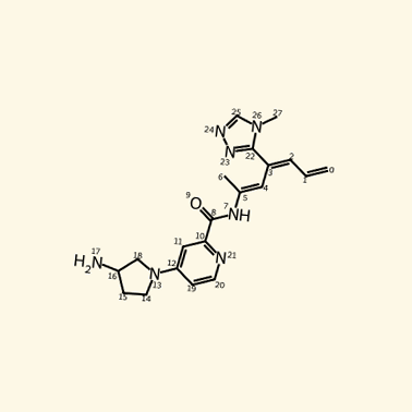 C=C/C=C(\C=C(/C)NC(=O)c1cc(N2CCC(N)C2)ccn1)c1nncn1C